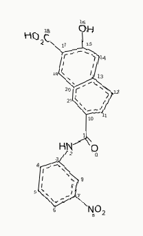 O=C(Nc1cccc([N+](=O)[O-])c1)c1ccc2cc(O)c(C(=O)O)cc2c1